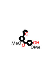 COc1cc(C(=O)c2cc(-c3ccco3)ccc2OC)ccc1O